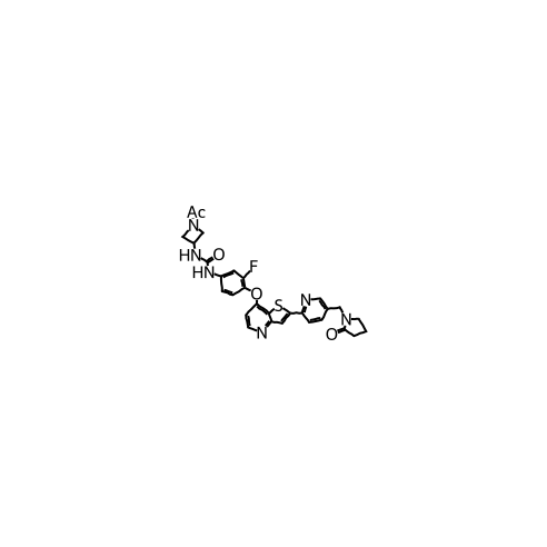 CC(=O)N1CC(NC(=O)Nc2ccc(Oc3ccnc4cc(-c5ccc(CN6CCCC6=O)cn5)sc34)c(F)c2)C1